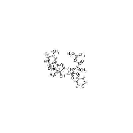 Cc1cn([C@@H]2O[C@H](COP(=O)(N[C@H](C)C(=O)OC(C)C)Oc3ccccc3)[C@@H](O)[C@@]2(C)N)c(=O)[nH]c1=O